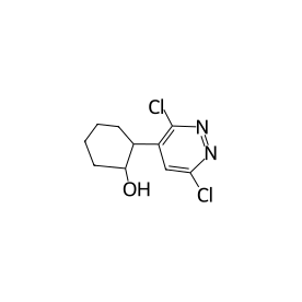 OC1CCCCC1c1cc(Cl)nnc1Cl